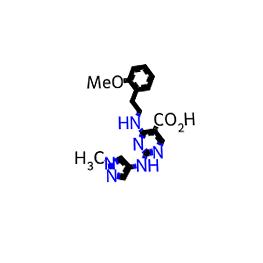 COc1ccccc1CCNc1nc(Nc2cnn(C)c2)ncc1C(=O)O